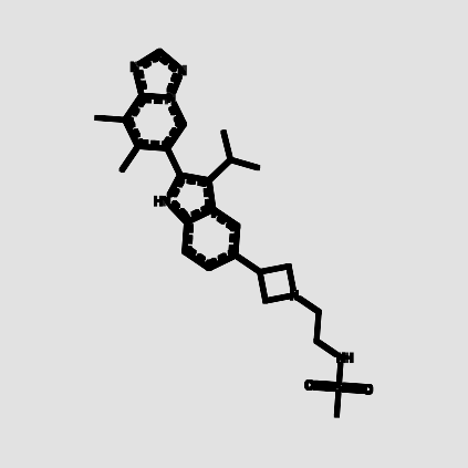 Cc1c(-c2[nH]c3ccc(C4CN(CCNS(C)(=O)=O)C4)cc3c2C(C)C)cn2ncnc2c1C